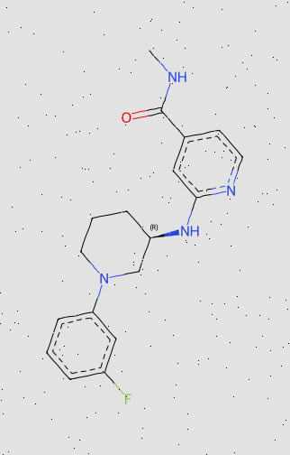 CNC(=O)c1ccnc(N[C@@H]2CCCN(c3cccc(F)c3)C2)c1